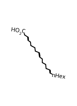 CCCCCCC=CCCCCC=CCCCCC=CCC(=O)O